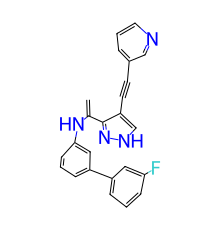 C=C(Nc1cccc(-c2cccc(F)c2)c1)c1n[nH]cc1C#Cc1cccnc1